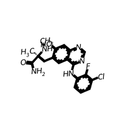 CN[C@@](C)(Cc1cc2c(Nc3cccc(Cl)c3F)ncnc2cc1O)C(N)=O